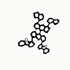 c1ccc2c(-c3cccc4c(-c5c6cccc(-c7cccc8c7oc7ccccc78)c6cc6c(-c7cccc8c7oc7ccccc78)cccc56)c5cccc(-c6cccc7ccccc67)c5cc34)cccc2c1